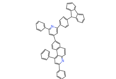 c1ccc(-c2cc(-c3ccc4c(ccc5nc(-c6ccccc6)cc(-c6ccccc6)c54)c3)cc(-c3ccc(C4c5ccccc5-c5ccccc54)cc3)n2)cc1